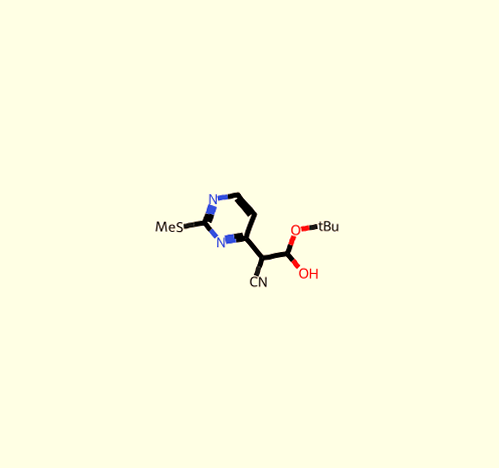 CSc1nccc(C(C#N)C(O)OC(C)(C)C)n1